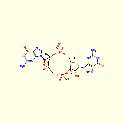 C#S[P@]1(=O)OC[C@H]2O[C@@H](n3cnc4c(=O)[nH]c(N)nc43)[C@H](O)[C@@H]2O[P@](=O)(S)OC[C@H]2O[C@@H](n3cnc4c(=O)[nH]c(N)nc43)[C@H](O1)[C@@H]2O